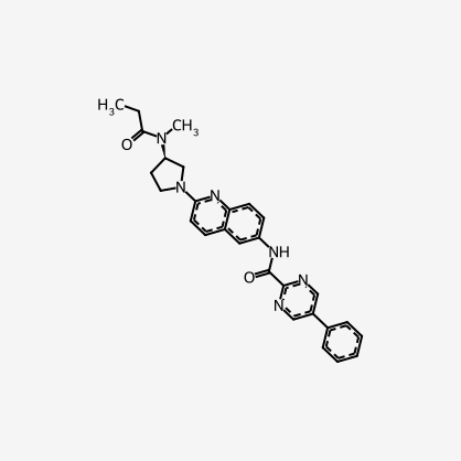 CCC(=O)N(C)[C@@H]1CCN(c2ccc3cc(NC(=O)c4ncc(-c5ccccc5)cn4)ccc3n2)C1